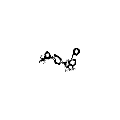 FC(F)(F)c1cccc(N2CCN(c3nc4c5c(n3)N(Cc3ccccc3)CCC5NN4)CC2)c1